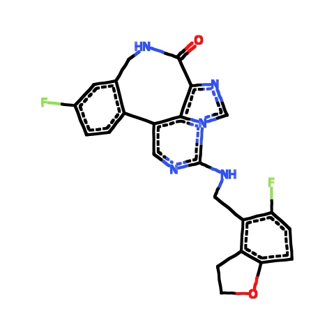 O=C1NCc2cc(F)ccc2-c2cnc(NCc3c(F)ccc4c3CCO4)n3cnc1c23